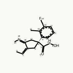 C/C=C1/C[C@@](C(=O)PO)(c2cccc(F)c2C)C/C1=N/C